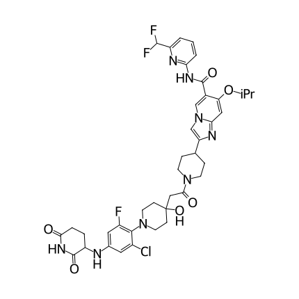 CC(C)Oc1cc2nc(C3CCN(C(=O)CC4(O)CCN(c5c(F)cc(NC6CCC(=O)NC6=O)cc5Cl)CC4)CC3)cn2cc1C(=O)Nc1cccc(C(F)F)n1